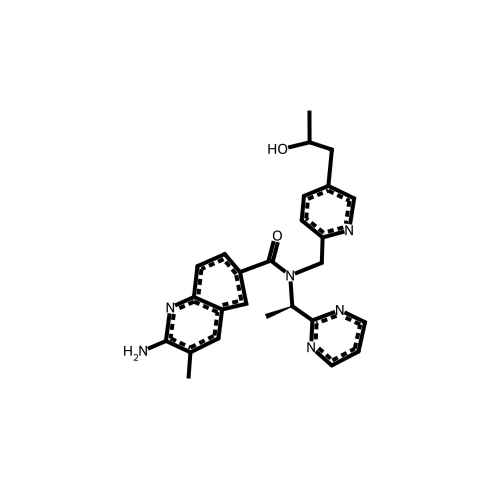 Cc1cc2cc(C(=O)N(Cc3ccc(CC(C)O)cn3)[C@H](C)c3ncccn3)ccc2nc1N